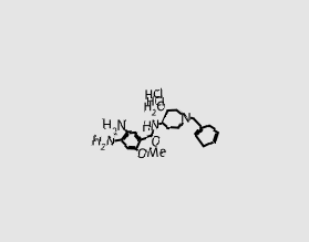 COc1cc(N)c(N)cc1C(=O)NC1CCN(CC2=CCC=CC2)CC1.Cl.Cl.O